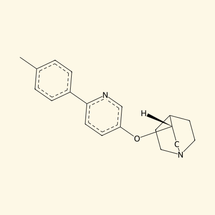 Cc1ccc(-c2ccc(O[C@H]3CN4CCC3CC4)cn2)cc1